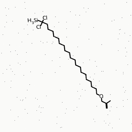 C=C(C)COCCCCCCCCCCCCCCCCCCCCC([SiH3])(Cl)Cl